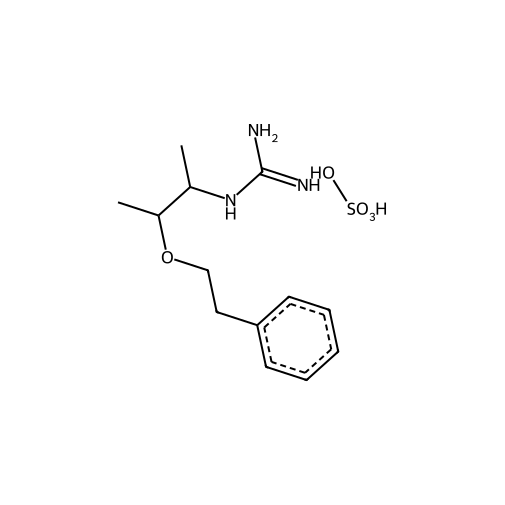 CC(NC(=N)N)C(C)OCCc1ccccc1.O=S(=O)(O)O